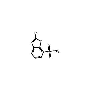 NS(=O)(=O)c1cccc2nc(S)oc12